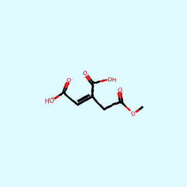 COC(=O)C/C(=C/C(=O)O)C(=O)O